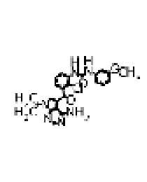 COc1cccc(NC(=O)Nc2cccc(C(=O)c3cn(C(C)C)c4ncnc(N)c34)c2Cl)c1